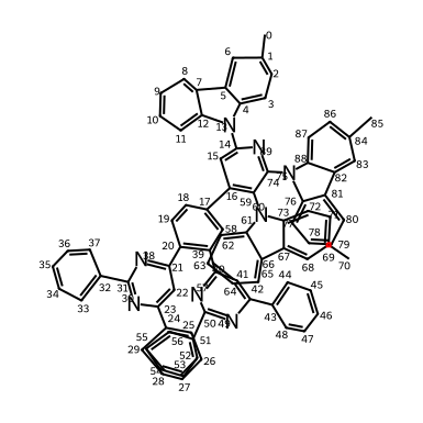 Cc1ccc2c(c1)c1ccccc1n2-c1cc(-c2ccc(-c3cc(-c4ccccc4)nc(-c4ccccc4)n3)c(-c3cc(-c4ccccc4)nc(-c4ccccc4)n3)c2)c(-n2c3ccccc3c3cc(C)ccc32)c(-n2c3ccccc3c3cc(C)ccc32)n1